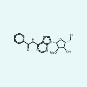 CO[C@@H]1[C@H](O)[C@@H](CCl)O[C@H]1n1cnc2c(NC(=O)c3ccccc3)ncnc21